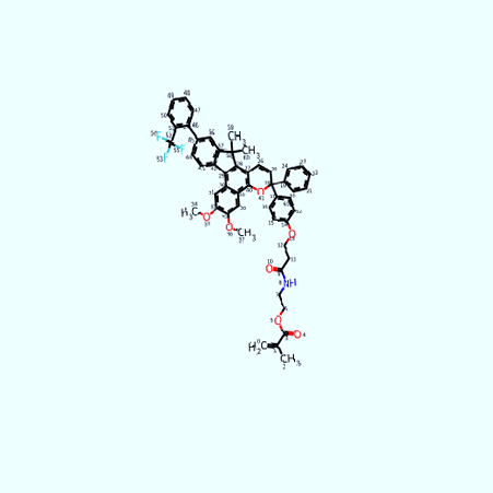 C=C(C)C(=O)OCCNC(=O)CCOc1ccc(C2(c3ccccc3)C=Cc3c4c(c5cc(OC)c(OC)cc5c3O2)-c2ccc(-c3ccccc3C(F)(F)F)cc2C4(C)C)cc1